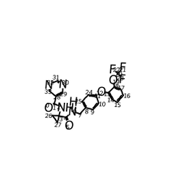 O=C(NC1(C(=O)NCc2ccc(Oc3ccccc3OC(F)(F)F)cc2)CC1)c1cncnc1